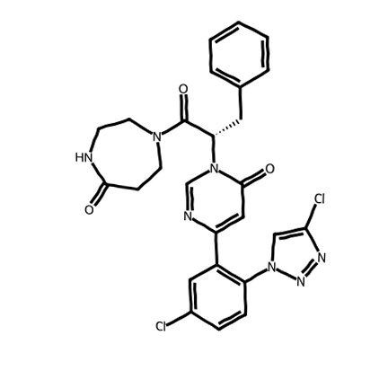 O=C1CCN(C(=O)[C@H](Cc2ccccc2)n2cnc(-c3cc(Cl)ccc3-n3cc(Cl)nn3)cc2=O)CCN1